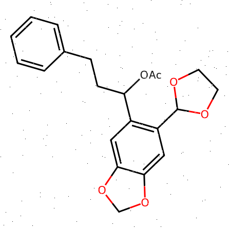 CC(=O)OC(CCc1ccccc1)c1cc2c(cc1C1OCCO1)OCO2